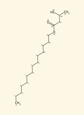 CCCCCCCCCCCCCCOC(=O)CC(C)S